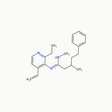 C=Cc1ccnc(CC)c1/N=C(/CC(C)CCc1ccccc1)NC